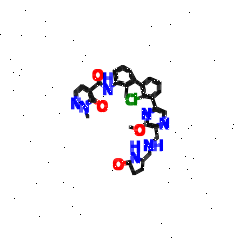 COc1nc(-c2cccc(-c3cccc(NC(=O)c4ccnn(C)c4=O)c3C)c2Cl)cnc1CNCC1CCC(=O)N1